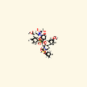 COCCCN1C(=O)COc2ccc(C(C)(O[C@H]3CN(S(C)(=O)=O)[C@H](c4ccccc4)C[C@@H]3c3ccc(OC)cc3)S(=O)(=O)c3ccc(C)cc3)cc21